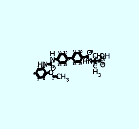 CCOc1ccccc1NC(=O)Nc1ccc(-c2ccc(C(=O)NC(C)(C)C(=O)O)cc2)cc1